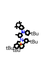 Cc1cc(N(c2ccc(C(C)(C)C)cc2)c2ccc3c(c2)C(C)(C)CCC3(C)C)cc(N(c2cc3cc(C(C)(C)C)ccc3s2)c2ccc(C(C)(C)C)cc2-c2ccc(C(C)(C)C)cc2)c1